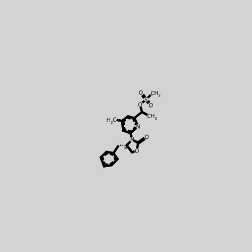 Cc1cc(C(C)OS(C)(=O)=O)nc(N2C(=O)OC[C@@H]2Cc2ccccc2)c1